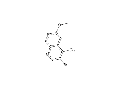 COc1cc2c(O)c(Br)cnc2cn1